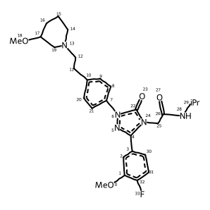 COc1cc(-c2nn(-c3ccc(CCN4CCCC(OC)C4)cc3)c(=O)n2CC(=O)NC(C)C)ccc1F